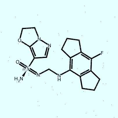 N[S@](=O)(=NCNc1c2c(c(F)c3c1CCC3)CCC2)c1cnn2c1OCC2